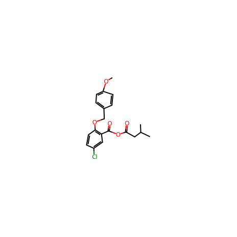 COc1ccc(COc2ccc(Cl)cc2C(=O)OC(=O)CC(C)C)cc1